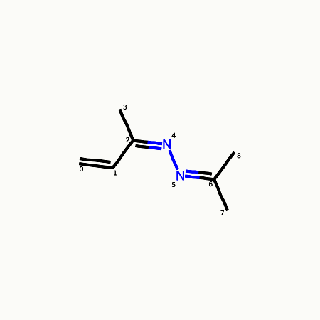 C=C/C(C)=N\N=C(C)C